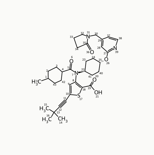 CC1CCC(C(=O)N(c2cc(C#CC(C)(C)C)sc2C(=O)O)[C@H]2CC[C@H](Oc3cc(CN4CCCC4=O)ccn3)CC2)CC1